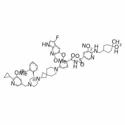 COc1cc(CN2CCN(C3CC4(CCN(c5ccc(C(=O)NS(=O)(=O)c6cnc(NCC7CCC(C)(O)CC7)c([N+](=O)[O-])c6)c(Oc6cc7c(F)c[nH]c7nc6OC)c5)CC4)C3)[C@H](c3ccccc3C(C)C)C2)cnc1C1CC1